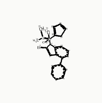 CCC1=Cc2c(-c3ccccc3)cccc2[CH]1[Zr]([Cl])([Cl])([C]1=CC=CC1)=[Si](C)C